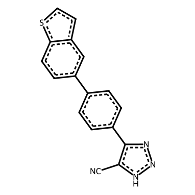 N#Cc1[nH]nnc1-c1ccc(-c2ccc3sccc3c2)cc1